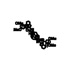 COCCC(NC(=O)OC)C(=O)N1C(c2nc3cc(C4=CC5CC=C4CCc4ccc(c(-c6ccc7[nH]c(C8CC9CCCCC9N8C(=O)C(CCOC)NC(=O)OC)nc7c6)c4)CC5)ccc3[nH]2)CC2CCCCC21